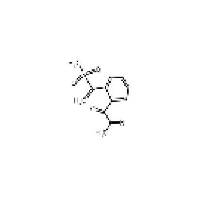 C=C(c1ccccc1C(=O)C(C)=N)S(C)(=O)=O